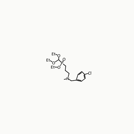 CCOC(OCC)P(=O)(CCCN(C)Cc1ccc(Cl)cc1)OCC